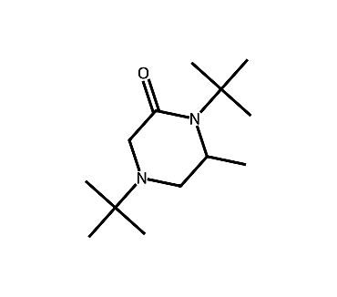 CC1CN(C(C)(C)C)CC(=O)N1C(C)(C)C